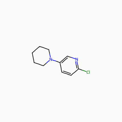 Clc1ccc(N2CCCCC2)cn1